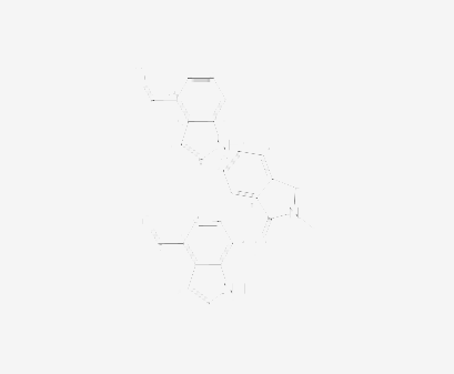 CN1Cc2ccccc2C1=O.O=Cc1cccc2[nH]ccc12.O=Cc1cccc2[nH]ccc12